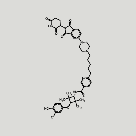 CC1(C)[C@H](NC(=O)c2ccc(CCCCCN3CCN(c4ccc5c(c4)C(=O)N(C4CCC(=O)NC4=O)C5=O)CC3)nc2)C(C)(C)[C@H]1Oc1ccc(C#N)c(Cl)c1